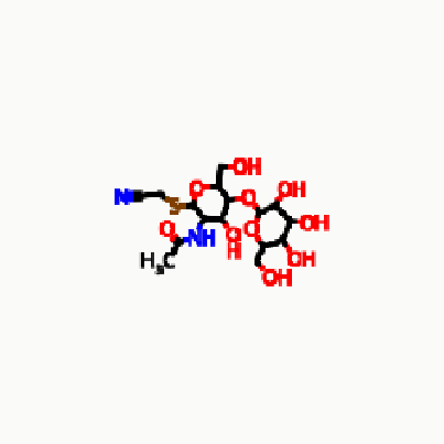 CC(=O)NC1C(SCC#N)OC(CO)C(OC2OC(CO)C(O)C(O)C2O)C1O